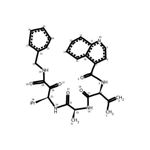 C=C(C)[C@H](NC(=O)c1ccnc2ccccc12)C(=O)N[C@@H](C)C(=O)N[C@H](C(=O)C(=O)NCc1ccccc1)C(C)C